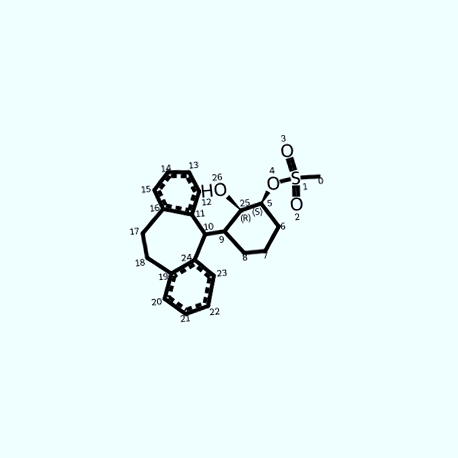 CS(=O)(=O)O[C@H]1CCCC(C2c3ccccc3CCc3ccccc32)[C@H]1O